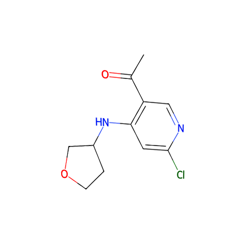 CC(=O)c1cnc(Cl)cc1NC1CCOC1